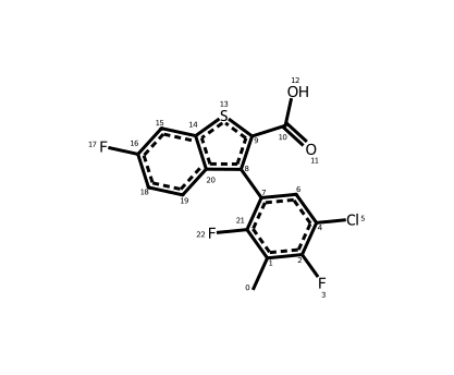 Cc1c(F)c(Cl)cc(-c2c(C(=O)O)sc3cc(F)ccc23)c1F